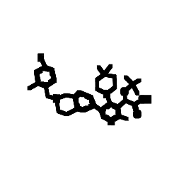 Cc1cc(F)ccc1CN1CCc2cc(-c3cnc(C)c(C(OC(C)(C)C)C(=O)O)c3N3CCC(C)(C)CC3)ccc2C1